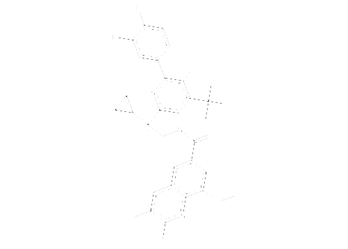 COc1cc(C(=O)NC[C@](O)(c2cc(C(C)(C)O)c(F)c(-c3ccc(F)c(F)c3)n2)C2CC2)cc2cc(C)c(F)nc12